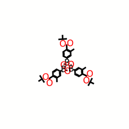 Cc1cc(B2OB(c3ccc(C(=O)OC(C)(C)C)c(C)c3)OB(c3ccc(C(=O)OC(C)(C)C)c(C)c3)O2)ccc1C(=O)OC(C)(C)C